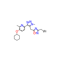 Cc1nc(-c2nnn(C)c2Cc2nc(CC(C)C)no2)ccc1OC1CCCCC1